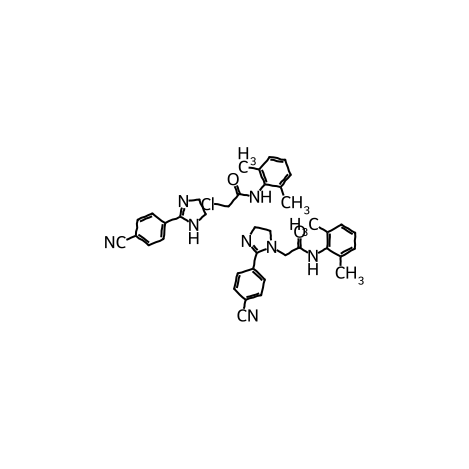 Cc1cccc(C)c1NC(=O)CCl.Cc1cccc(C)c1NC(=O)CN1CCN=C1c1ccc(C#N)cc1.N#Cc1ccc(C2=NCCN2)cc1